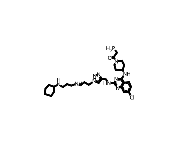 O=C(CP)N1CCC(Nc2nc(NCc3cn(CCCNCCCNC4CCCCC4)nn3)nc3cc(Cl)ccc23)CC1